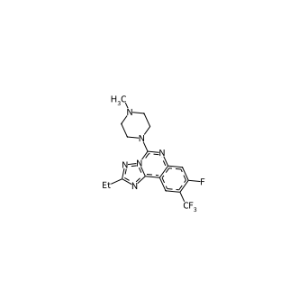 CCc1nc2c3cc(C(F)(F)F)c(F)cc3nc(N3CCN(C)CC3)n2n1